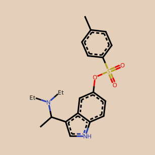 CCN(CC)C(C)c1c[nH]c2ccc(OS(=O)(=O)c3ccc(C)cc3)cc12